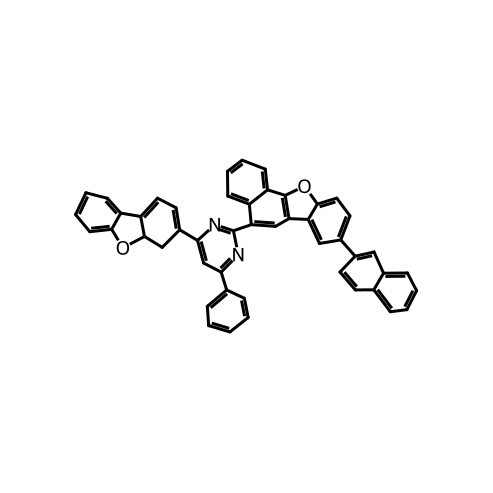 C1=C(c2cc(-c3ccccc3)nc(-c3cc4c5cc(-c6ccc7ccccc7c6)ccc5oc4c4ccccc34)n2)CC2Oc3ccccc3C2=C1